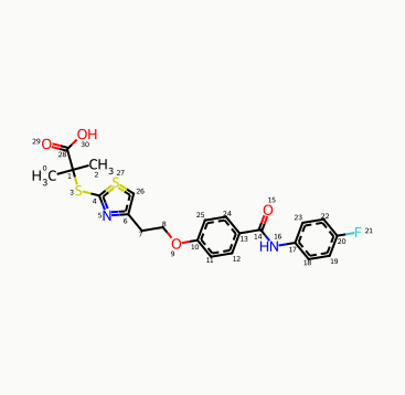 CC(C)(Sc1nc(CCOc2ccc(C(=O)Nc3ccc(F)cc3)cc2)cs1)C(=O)O